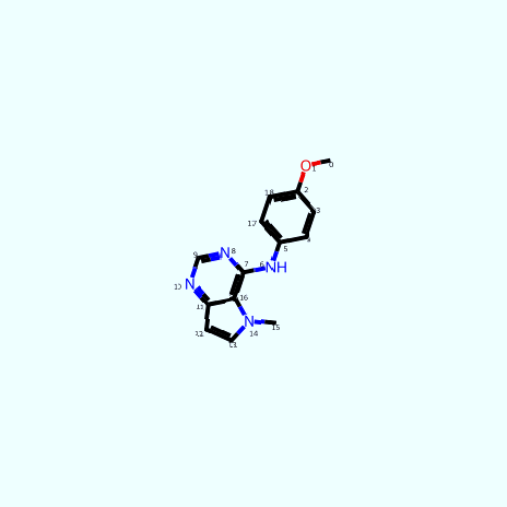 COc1ccc(Nc2ncnc3ccn(C)c23)cc1